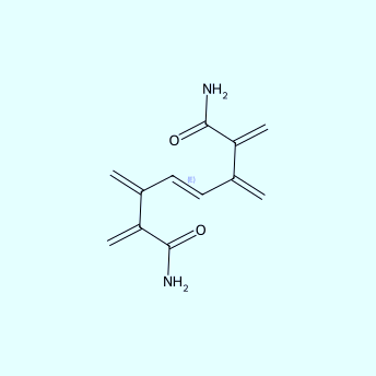 C=C(/C=C/C(=C)C(=C)C(N)=O)C(=C)C(N)=O